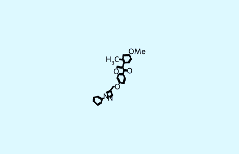 COc1ccc(-c2coc3cc(OCc4cnn(-c5ccccc5)c4)ccc3c2=O)c(C)c1